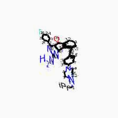 CC(C)CN1CCN(c2ccc(-c3cccc4c3-c3nc(N)nc(-c5ccc(F)cc5)c3C4=O)cc2)CC1